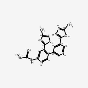 CCNC(=O)Nc1cc(-c2nc(C(F)(F)F)cs2)c(-c2cncc(-c3nnc(C)o3)c2)cn1